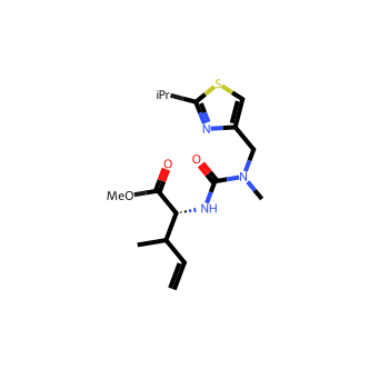 C=CC(C)[C@@H](NC(=O)N(C)Cc1csc(C(C)C)n1)C(=O)OC